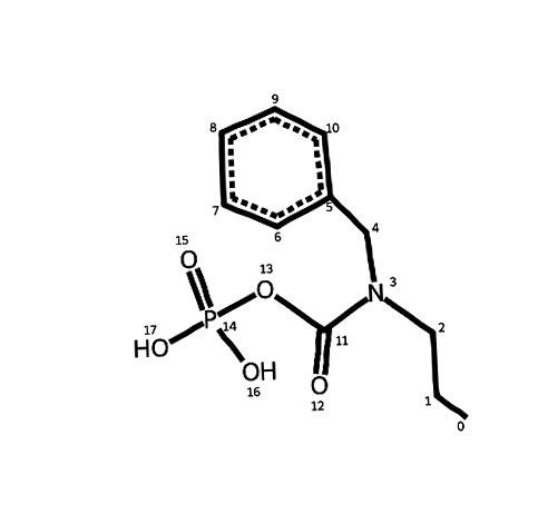 CCCN(Cc1ccccc1)C(=O)OP(=O)(O)O